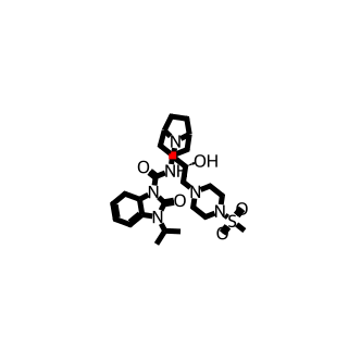 CC(C)N1C(=O)N(C(=O)NC2CC3CCC(C2)N3C[C@H](O)CN2CCN(S(C)(=O)=O)CC2)C2CC=CC=C21